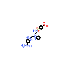 N=C(N)c1ccc2[nH]c(Cc3nc4ccccc4n3CCNS(=O)(=O)c3ccc(C(=O)O)cc3)nc2c1